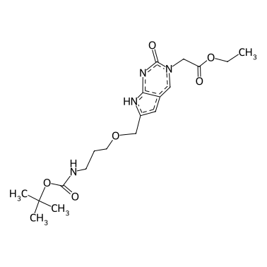 CCOC(=O)Cn1cc2cc(COCCCNC(=O)OC(C)(C)C)[nH]c2nc1=O